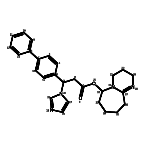 O=C(CC(c1ccc(-c2ccccc2)cc1)n1ccnc1)OC1CCCCC2=NCCCN21